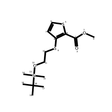 COC(=O)c1sccc1SCCO[Si](C)(C)C(C)(C)C